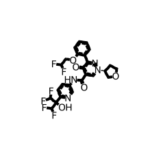 O=C(Nc1ccc(C(O)(C(F)F)C(F)F)nc1)c1cn([C@@H]2CCOC2)nc(-c2ccccc2OCC(F)F)c1=O